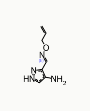 C=CCO/N=C/c1n[nH]cc1N